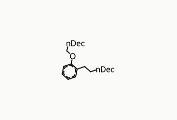 CCCCCCCCCCCCc1ccccc1OCCCCCCCCCCC